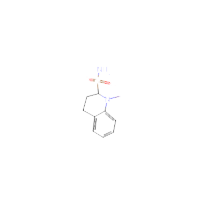 NS(=O)(=O)C1CCc2ccccc2N1I